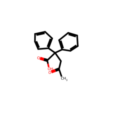 CC(=O)CC(C(=O)O)(c1ccccc1)c1ccccc1